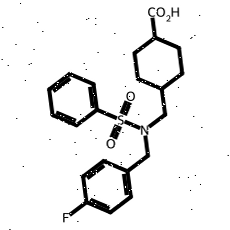 O=C(O)C1CCC(CN(Cc2ccc(F)cc2)S(=O)(=O)c2ccccc2)CC1